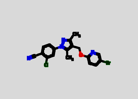 Cc1nn(-c2ccc(C#N)c(Cl)c2)c(C)c1COc1ccc(Br)cn1